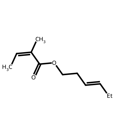 C/C=C(/C)C(=O)OCC/C=C/CC